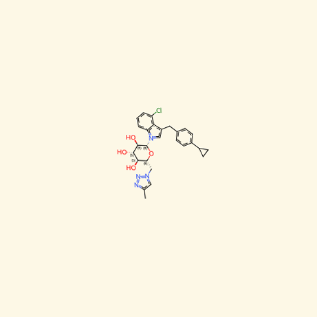 Cc1cn(C[C@H]2O[C@@H](n3cc(Cc4ccc(C5CC5)cc4)c4c(Cl)cccc43)[C@H](O)[C@@H](O)[C@@H]2O)nn1